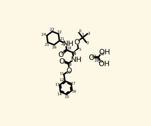 CC(C)(C)OC[C@@H](NC(=O)OCc1ccccc1)C(=O)NC1CCCCC1.O=C(O)O